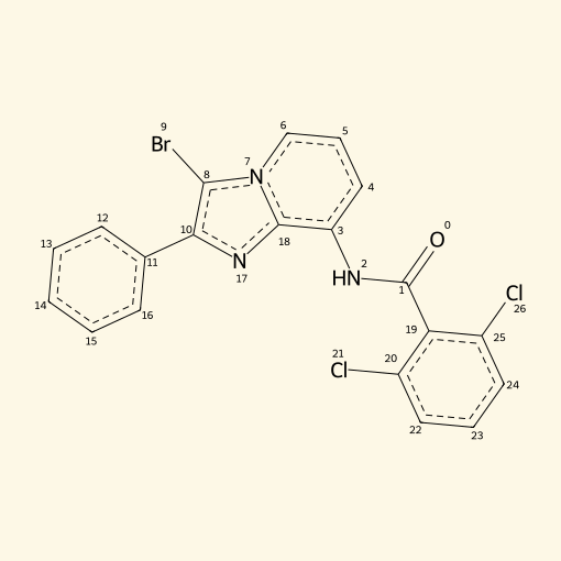 O=C(Nc1cccn2c(Br)c(-c3ccccc3)nc12)c1c(Cl)cccc1Cl